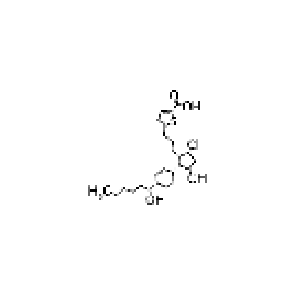 CCCCCC(O)c1ccc([C@@H]2[C@@H](CCCc3ccc(C(=O)O)s3)[C@H](Cl)C[C@H]2O)cc1